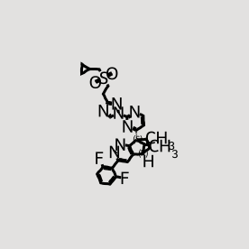 CC1(C)[C@H]2CC[C@]1(c1ccnc(-n3cnc(CCS(=O)(=O)CC4CC4)n3)n1)c1nnc(-c3c(F)cccc3F)cc12